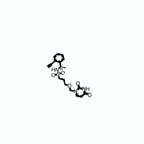 C#Cc1ccccc1[C@@H](C)NS(=O)(=O)CCCOCn1ccc(=O)[nH]c1=O